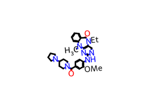 CCN1C(=O)c2ccccc2N(C)c2nc(Nc3ccc(C(=O)N4CCC(N5CCCC5)CC4)cc3OC)ncc21